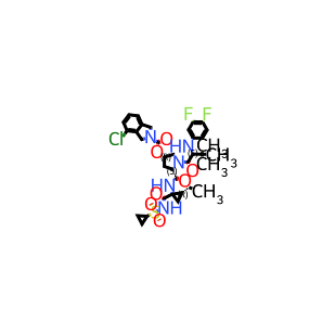 CC[C@@H]1CC1(NC(=O)[C@@H]1C[C@@H](OC(=O)N2Cc3cccc(Cl)c3C2)CN1C(=O)[C@@H](Nc1ccc(F)c(F)c1)C(C)(C)C)C(=O)NS(=O)(=O)C1CC1